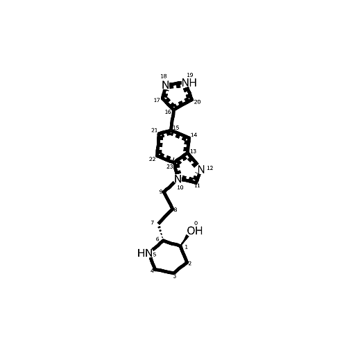 O[C@H]1CCCN[C@@H]1CCCn1cnc2cc(-c3cn[nH]c3)ccc21